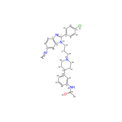 [C-]#[N+]c1ccc2nc(-c3ccc(Cl)cc3)n(CCCN3CCC(c4cccc(NC(C)=O)c4)CC3)c2c1